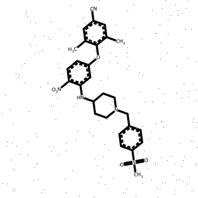 Cc1cc(C#N)cc(C)c1Oc1ccc([N+](=O)[O-])c(NC2CCN(Cc3ccc(S(C)(=O)=O)cc3)CC2)c1